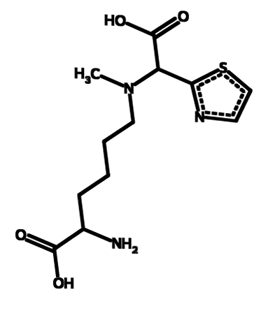 CN(CCCCC(N)C(=O)O)C(C(=O)O)c1nccs1